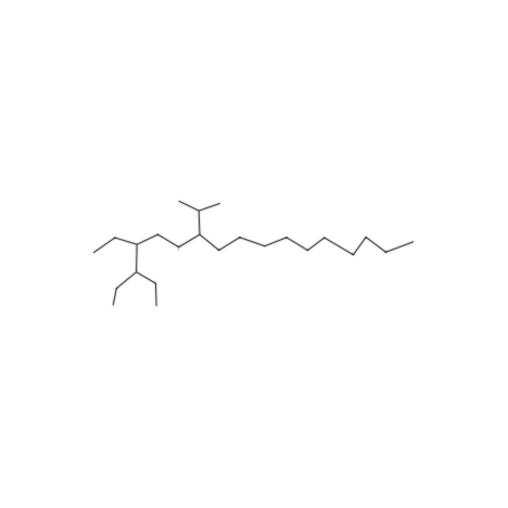 CCCCCCCCCCC([CH]CC(CC)C(CC)CC)C(C)C